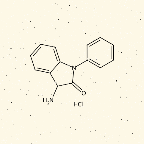 Cl.NC1C(=O)N(c2ccccc2)c2ccccc21